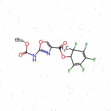 CC(C)(C)OC(=O)Nc1nc(C(=O)OC2C(F)=C(F)C(F)=C(F)C2(C)F)co1